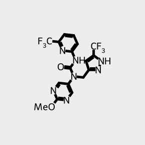 COc1ncc(N(Cc2cc(C(F)(F)F)[nH]n2)C(=O)Nc2cccc(C(F)(F)F)n2)cn1